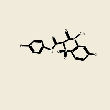 CN1C(=O)C(C(=O)Nc2ccc(F)cc2)S(=O)(=O)c2ccc(Cl)cc21